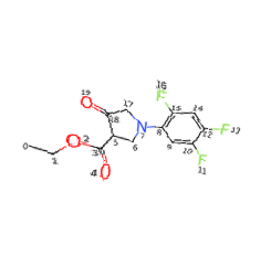 CCOC(=O)C1CN(c2cc(F)c(F)cc2F)CC1=O